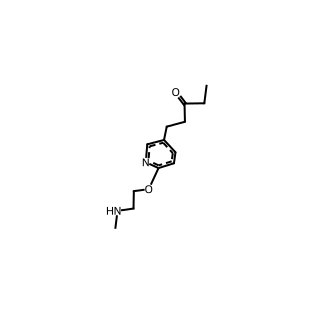 CCC(=O)CCc1ccc(OCCNC)nc1